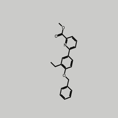 CCc1cc(-c2cccc(C(=O)OC)n2)ccc1OCc1ccccc1